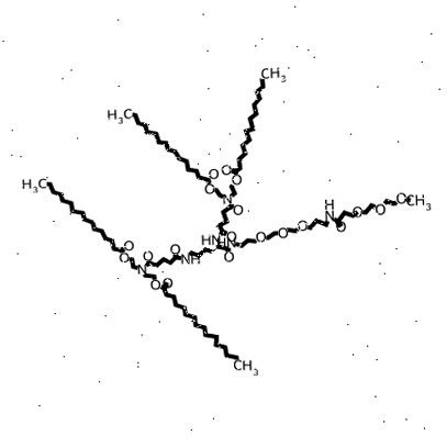 CCCCCCCCCCCCCCCC(=O)OCCN(CCOC(=O)CCCCCCCCCCCCCCC)C(=O)CCCC(=O)NCCCC[C@H](NC(=O)CCCC(=O)N(CCOC(=O)CCCCCCCCCCCCCCC)CCOC(=O)CCCCCCCCCCCCCCC)C(=O)NCCCOCCOCCOCCCNC(=O)CCOCCOCCOC